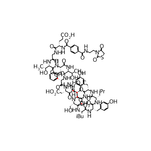 CC[C@H](C)[C@H](NC(=O)[C@H](CO)NC(=O)[C@H](Cc1ccc(O)cc1)NC(=O)[C@H](CC(=O)O)NC(=O)[C@H](CO)NC(=O)[C@@H](NC(=O)[C@H](Cc1ccccc1)NC(=O)[C@@H](NC(=O)CNC(=O)[C@H](CCC(=O)O)NC(=O)c1ccc(C(=O)NCCN2C(=O)CSC2=O)cc1)[C@@H](C)O)[C@@H](C)O)C(=O)N[C@@H](Cc1ccc(O)cc1)C(=O)N[C@@H](CC(C)C)C(=O)N[C@@H](CC(=O)O)C(=O)N[C@H](C)CCCCN